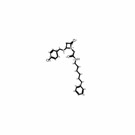 O=C(CN1C(=O)CC1SCc1ccc(Cl)cc1)NCCCCCCc1ccccc1